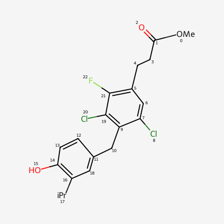 COC(=O)CCc1cc(Cl)c(Cc2ccc(O)c(C(C)C)c2)c(Cl)c1F